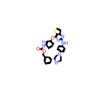 CN1CCN(c2ccc(Nc3nc(Oc4cccc(NC(=O)OCc5ccccc5)c4)c4sccc4n3)cc2)CC1